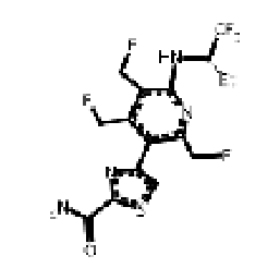 CC[C@H](Nc1nc(CF)c(-c2csc(C(N)=O)n2)c(CF)c1CF)C(F)(F)F